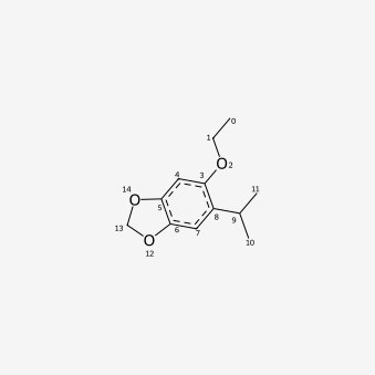 CCOc1cc2c(cc1C(C)C)OCO2